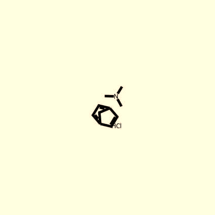 C1=CC2=CC=C1C2.CN(C)C.Cl